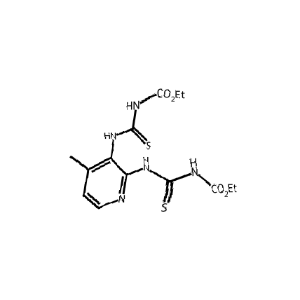 CCOC(=O)NC(=S)Nc1nccc(C)c1NC(=S)NC(=O)OCC